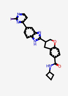 O=C(NC1CCC1)c1ccc2c(c1)CC(c1nc3cc(-c4ccnc(I)n4)ccc3[nH]1)CO2